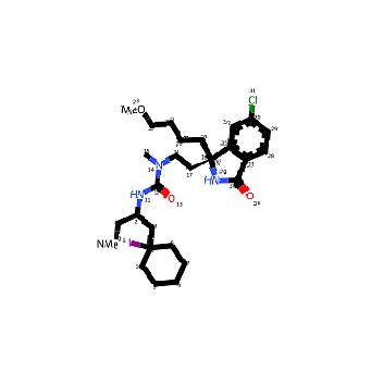 CNCC(CC1(I)CCCCC1)NC(=O)N(C)CC[C@]1(CCCCOC)NC(=O)c2ccc(Cl)cc21